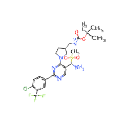 CC(C)(C)OC(=O)NCC1CCN(c2nc(-c3ccc(Cl)c(C(F)(F)F)c3)ncc2C(N)S(C)(=O)=O)C1